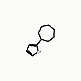 c1c[se]c(C2CCCCCC2)c1